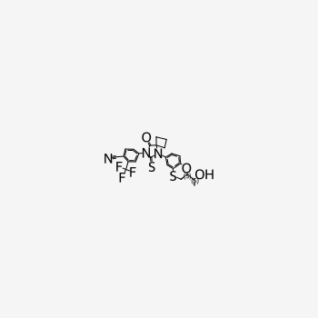 C[C@H](O)[C@H]1CSc2cc(N3C(=S)N(c4ccc(C#N)c(C(F)(F)F)c4)C(=O)C34CCC4)ccc2O1